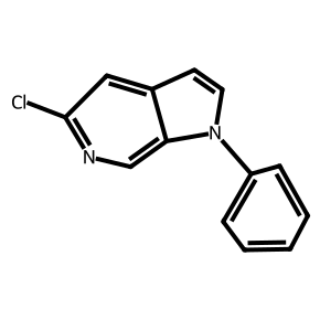 Clc1cc2ccn(-c3ccccc3)c2cn1